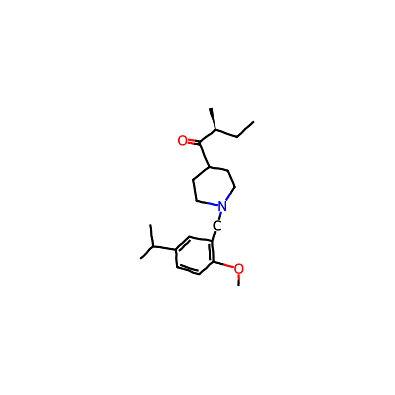 CC[C@H](C)C(=O)C1CCN(Cc2cc(C(C)C)ccc2OC)CC1